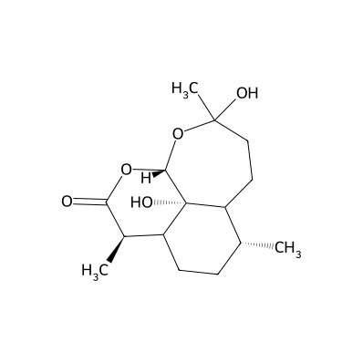 C[C@@H]1CCC2[C@@H](C)C(=O)O[C@@H]3OC(C)(O)CCC1[C@@]23O